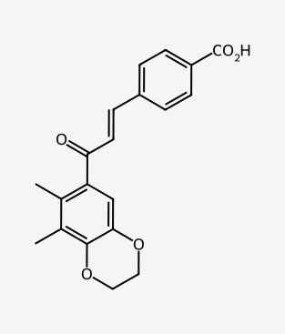 Cc1c(C(=O)/C=C/c2ccc(C(=O)O)cc2)cc2c(c1C)OCCO2